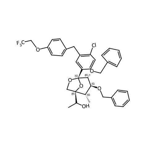 CC(O)[C@@]12CO[C@@](c3ccc(Cl)c(Cc4ccc(OCC(F)(F)F)cc4)c3)(O1)[C@H](OCc1ccccc1)[C@@H](OCc1ccccc1)[C@@H]2C